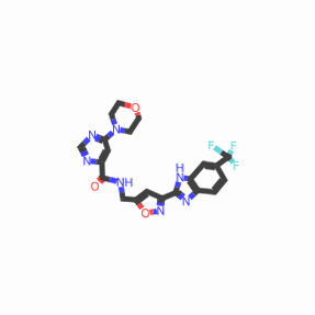 O=C(NCc1cc(-c2nc3ccc(C(F)(F)F)cc3[nH]2)no1)c1cc(N2CCOCC2)ncn1